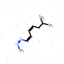 C\N=N/C=C\C=C/CC(C)C